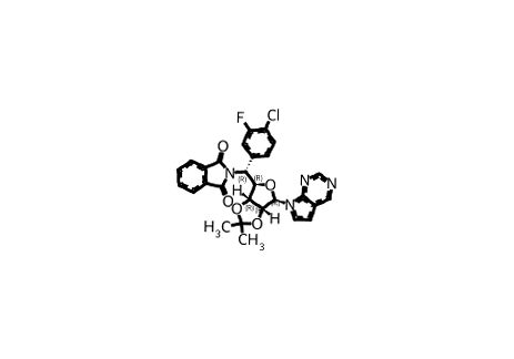 CC1(C)O[C@H]2[C@@H](O1)[C@H](n1ccc3cncnc31)O[C@@H]2[C@@H](c1ccc(Cl)c(F)c1)N1C(=O)c2ccccc2C1=O